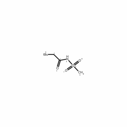 CC(C)(C)CC(=O)NS(C)(=O)=O